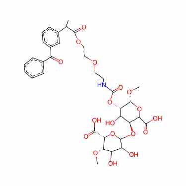 CO[C@@H]1OC(C(=O)O)[C@@H](OC2O[C@@H](C(=O)O)[C@@H](OC)C(O)C2O)C(O)[C@@H]1OC(=O)NCCOCCOC(=O)C(C)c1cccc(C(=O)c2ccccc2)c1